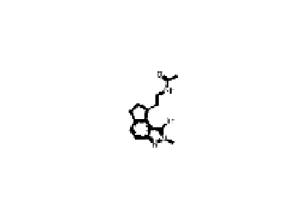 CC(=O)NCC[C@@H]1CCc2ccc3nn(C)c(Br)c3c21